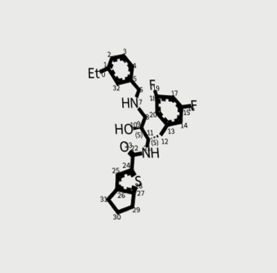 CCc1cccc(CNC[C@H](O)[C@H](Cc2cc(F)cc(F)c2)NC(=O)c2cc3c(s2)CCC3)c1